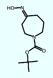 CC(C)(C)OC(=O)N1CCC/C(=N/O)CC1